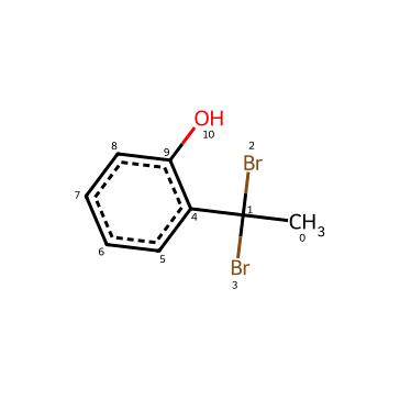 CC(Br)(Br)c1ccccc1O